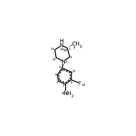 C[C@@H]1CN(c2ccc(N)c(F)c2)CCN1